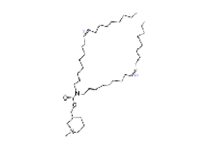 CCCCCCCC/C=C\CCCCCCCCN(CCCCCCCC/C=C\CCCCCCCC)C(=O)OCC1CCCN(C)C1